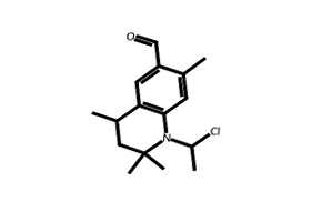 Cc1cc2c(cc1C=O)C(C)CC(C)(C)N2C(C)Cl